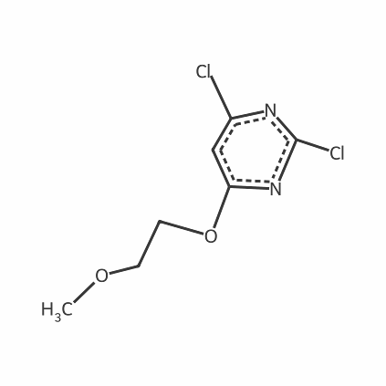 COCCOc1cc(Cl)nc(Cl)n1